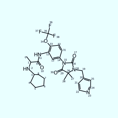 CC(NC1CCCCC1)C(=O)Nc1cc(N2C(=O)N(Cc3ccncc3)C(C)(C)C2=O)ccc1OC(F)(F)F